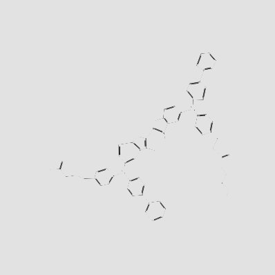 COCCOC(=O)CCc1ccc(N(c2ccc(-c3ccccc3)cc2)c2ccc3sc(-c4sc5ccc(N(c6ccc(CCCC(C)=O)cc6)c6ccc(-c7ccccc7)cc6)cc5c4C)c(C)c3c2)cc1